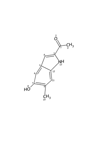 CC(=O)c1cc2cc(O)c(C)cc2[nH]1